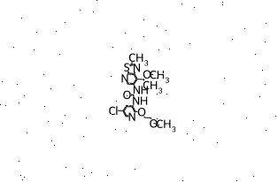 COCCOc1ncc(Cl)cc1NC(=O)Nc1cnc2sc(C)nc2c1C(C)OC